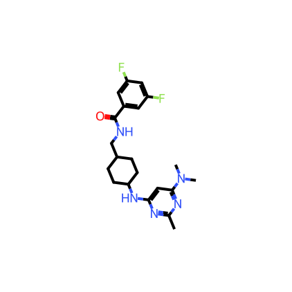 Cc1nc(NC2CCC(CNC(=O)c3cc(F)cc(F)c3)CC2)cc(N(C)C)n1